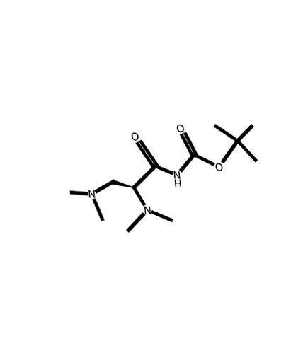 CN(C)C[C@@H](C(=O)NC(=O)OC(C)(C)C)N(C)C